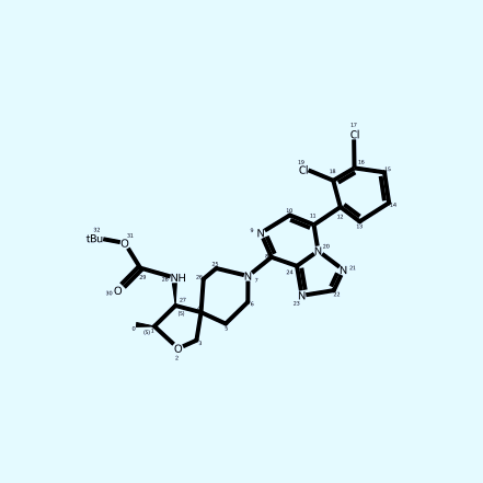 C[C@@H]1OCC2(CCN(c3ncc(-c4cccc(Cl)c4Cl)n4ncnc34)CC2)[C@@H]1NC(=O)OC(C)(C)C